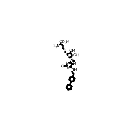 NC(CCSC[C@H]1O[C@@H](n2cnc3c(NCCc4ccc(-c5ccccc5)cc4)nc(Cl)nc32)[C@H](O)[C@@H]1O)C(=O)O